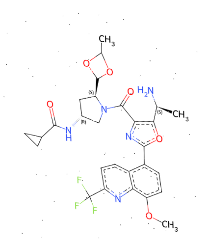 COc1ccc(-c2nc(C(=O)N3C[C@H](NC(=O)C4CC4)C[C@H]3C3OC(C)O3)c([C@H](C)N)o2)c2ccc(C(F)(F)F)nc12